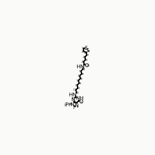 CC(C)n1cnc2c(=O)[nH]c(NCCCCCCCCCCCNC(=O)CCCCC3CCSS3)nc21